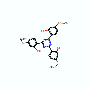 CCCCCCCCSc1ccc(-c2nc(-c3ccc(SCCCCCCCC)cc3O)nc(-c3ccc(SCCCCCCCC)cc3O)n2)c(O)c1